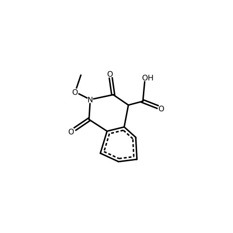 CON1C(=O)c2ccccc2C(C(=O)O)C1=O